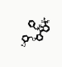 COc1cccc(COc2cccc(-c3c4cccc(C(F)(F)F)c4nn3Cc3ccccc3)c2)c1